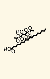 CC(=O)OC(=O)C(O)C(O)C(=O)OC(C)=O.CCCCCCCCCCCCCCCCCC(=O)O